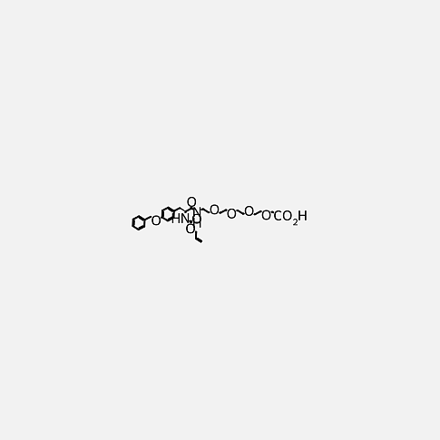 C=CCOC(=O)N[C@@H](Cc1ccc(OCc2ccccc2)cc1)C(=O)NCCOCCOCCOCCOCC(=O)O